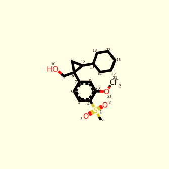 CS(=O)(=O)c1ccc(C2(CO)CC2C2CCCCC2)cc1OC(F)(F)F